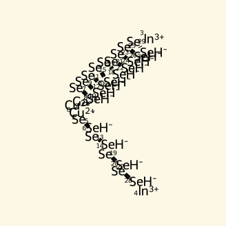 [Cu+2].[Cu+2].[Ga+3].[In+3].[In+3].[Se]=[SeH-].[Se]=[SeH-].[Se]=[SeH-].[Se]=[SeH-].[Se]=[SeH-].[Se]=[SeH-].[Se]=[SeH-].[Se]=[SeH-].[Se]=[SeH-].[Se]=[SeH-].[Se]=[SeH-].[Se]=[SeH-].[Se]=[SeH-]